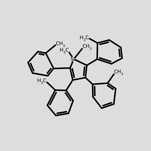 Cc1ccccc1C1=C(c2ccccc2C)[Si](C)(C)C(c2ccccc2C)=C1c1ccccc1C